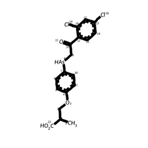 CC(COc1ccc([AsH]CC(=O)c2ccc(Cl)cc2Cl)cc1)C(=O)O